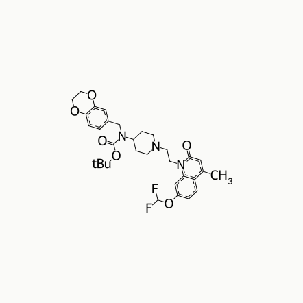 Cc1cc(=O)n(CCN2CCC(N(Cc3ccc4c(c3)OCCO4)C(=O)OC(C)(C)C)CC2)c2cc(OC(F)F)ccc12